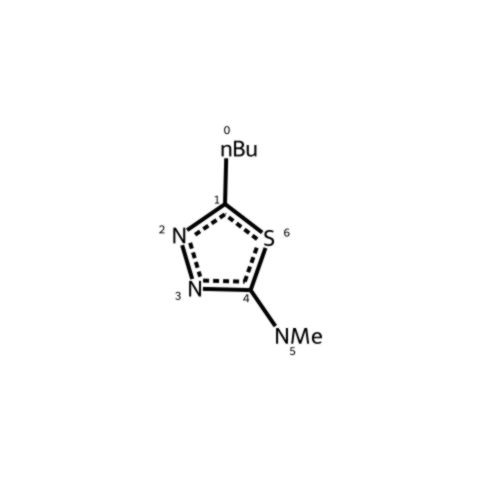 CCCCc1nnc(NC)s1